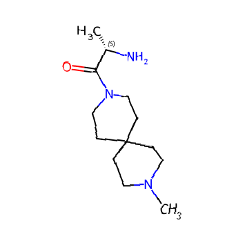 C[C@H](N)C(=O)N1CCC2(CCN(C)CC2)CC1